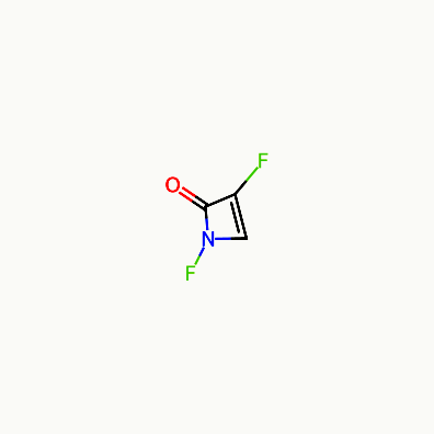 O=C1C(F)=CN1F